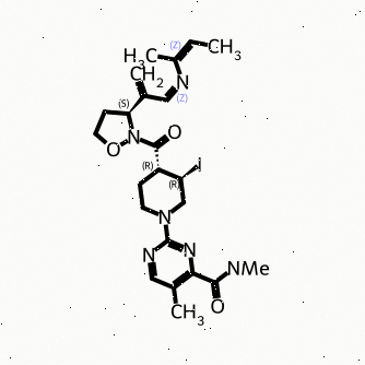 C=C(/C=N\C(C)=C/C)[C@@H]1CCON1C(=O)[C@H]1CCN(c2ncc(C)c(C(=O)NC)n2)C[C@@H]1I